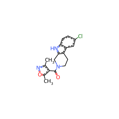 Cc1noc(C)c1C(=O)N1CCc2c([nH]c3ccc(Cl)cc23)C1